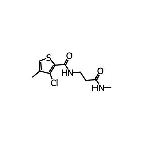 CNC(=O)CCNC(=O)c1scc(C)c1Cl